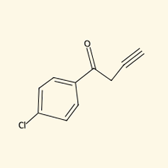 C#CCC(=O)c1ccc(Cl)cc1